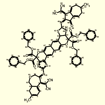 CC1=CC=C2C(=C(C#N)C#N)/C(=N/c3nc4c(s3)C3=CC5C=C6OC(C(=O)OCc7ccccc7)(C(=O)OCc7ccccc7)C7NC(/N=C8\C(=O)C9=CCC(C)CC=C9C8=C(C#N)C#N)SC7C6=CC5C=C3OC4(C(=O)OCc3ccccc3)C(=O)OCc3ccccc3)COCC2C1